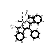 CC1=[N+]2C(=C(c3ccccc3)c3c4ccccc4c(C)n3[B-]2(F)F)c2ccccc21